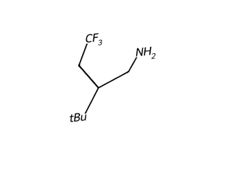 CC(C)(C)C(CN)CC(F)(F)F